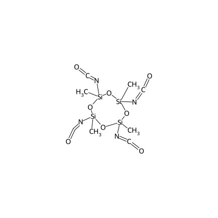 C[Si]1(N=C=O)O[Si](C)(N=C=O)O[Si](C)(N=C=O)O[Si](C)(N=C=O)O1